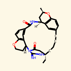 CC[C@]12CCCCc3ccc4c(c3)[C@H](C[C@@H](C)O4)NC(=O)c3ccc4c(c3)[C@@H](CCO4)N(C(=N)N1)C(=O)C2